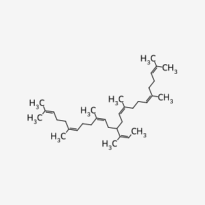 CC=C(C)C(CC=C(C)CCC=C(C)CCC=C(C)C)CC=C(C)CCC=C(C)CCC=C(C)C